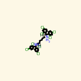 NC(BCCCCCCBC(N)(c1ccc(Cl)cc1Cl)c1ccc(Cl)cc1Cl)(c1ccc(Cl)cc1Cl)c1ccc(Cl)cc1Cl